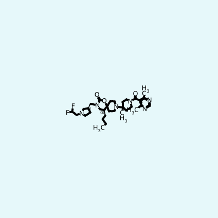 CCCC[C@H]1CN(C[C@H]2CCN(CC(F)F)C2)C(=O)OC12CCN(C1(C)CCN(C(=O)c3c(C)ncnc3C)CC1)CC2